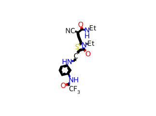 CCNC(=O)C(=C=c1sc(=C=CNc2cccc(NC(=O)C(F)(F)F)c2)c(=O)n1CC)C#N